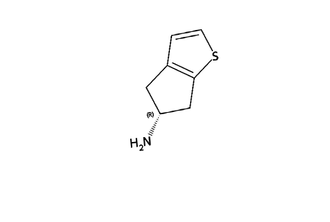 N[C@@H]1Cc2ccsc2C1